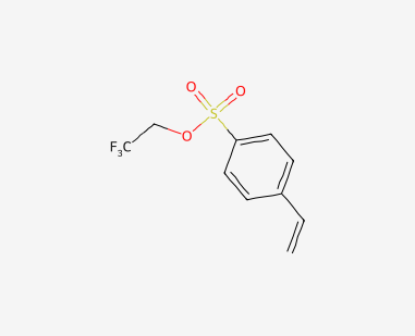 C=Cc1ccc(S(=O)(=O)OCC(F)(F)F)cc1